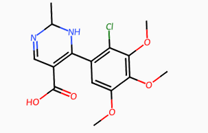 COc1cc(C2=C(C(=O)O)C=NC(C)N2)c(Cl)c(OC)c1OC